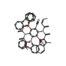 C=C(/C=C\C)N(C(=C)c1sc2c(c1C)C=CCC2)c1c(C#N)c(-n2c3ccccc3c3ccccc32)c(N(C(=C)C=C(C)C)C(=C)CSc2ccccc2)c(-n2c3ccccc3c3ccccc32)c1C#N